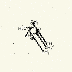 CCCCCCCCCCCCCOC(=O)CCN(CCC(=O)OC)CCN(CCCC)CCN(CCCC)CCN(CCC(=O)OCCCCCCCCCCCCC)CCC(=O)OCCCCCCCCCCCCC